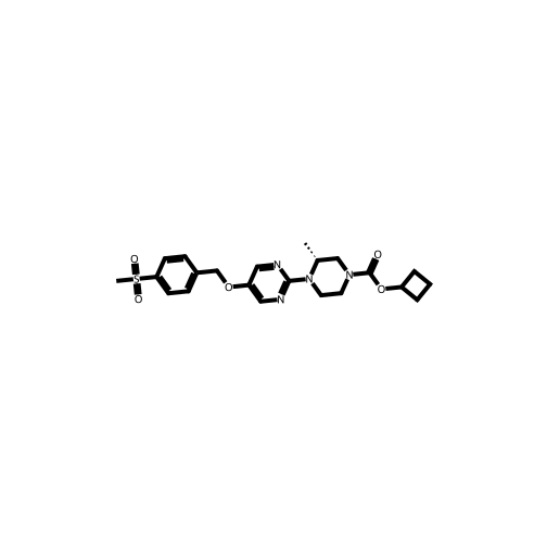 C[C@@H]1CN(C(=O)OC2CCC2)CCN1c1ncc(OCc2ccc(S(C)(=O)=O)cc2)cn1